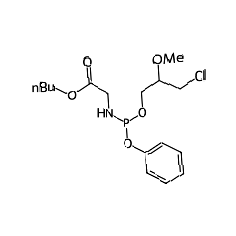 CCCCOC(=O)CNP(OCC(CCl)OC)Oc1ccccc1